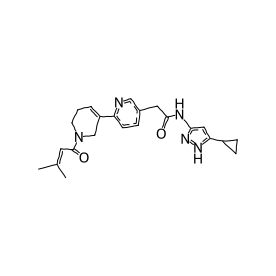 CC(C)=CC(=O)N1CCC=C(c2ccc(CC(=O)Nc3cc(C4CC4)[nH]n3)cn2)C1